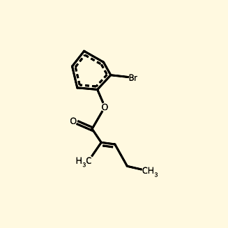 CCC=C(C)C(=O)Oc1ccccc1Br